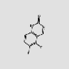 O=c1ncc2c(F)c(F)ccc2[nH]1